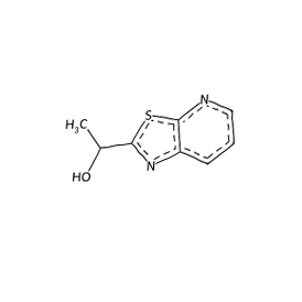 CC(O)c1nc2cccnc2s1